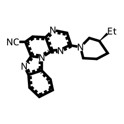 CC[C@H]1CCCN(c2cnc3cc(C#N)c4nc5ccccc5n4c3n2)C1